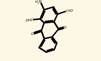 Nc1cc(C=O)c2c(c1C=O)C(=O)c1ccccc1C2=O